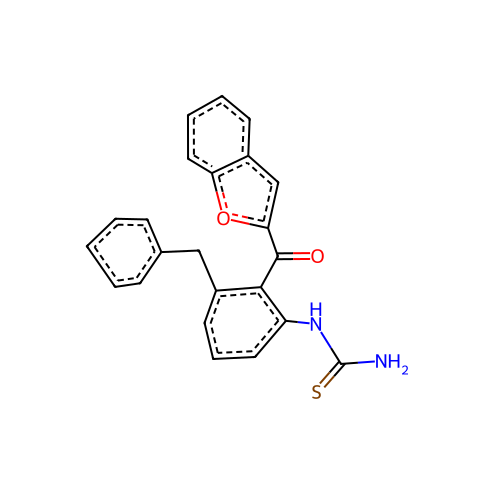 NC(=S)Nc1cccc(Cc2ccccc2)c1C(=O)c1cc2ccccc2o1